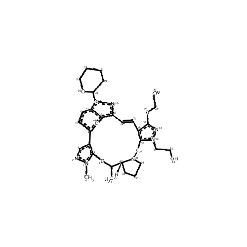 CC1Oc2c(cnn2C)-c2ccc3c(c2)c(nn3C2CCCCO2)/C=C/c2c(OCC#N)nn(CCO)c2CN2CCC[C@H]12